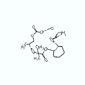 COC1CCCCC1OC(=O)C(C)(C)OC(C)COC(=O)OCCl